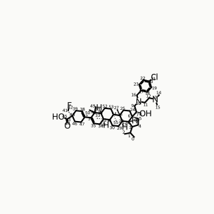 CC(C)C1CC[C@]2([C@H](O)CN(CCN(C)C)Cc3ccc(Cl)cc3)CC[C@]3(C)[C@H](CC[C@@H]4[C@@]5(C)CC=C(C6=CC[C@](CF)(C(=O)O)CC6)C(C)(C)[C@@H]5CC[C@]43C)[C@@H]12